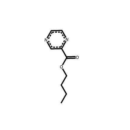 CCCCOC(=O)c1cnccn1